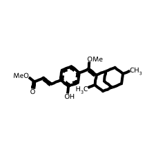 COC(=O)/C=C/c1ccc(/C(OC)=C2\C(C)CC3CC(C)CC2C3)cc1O